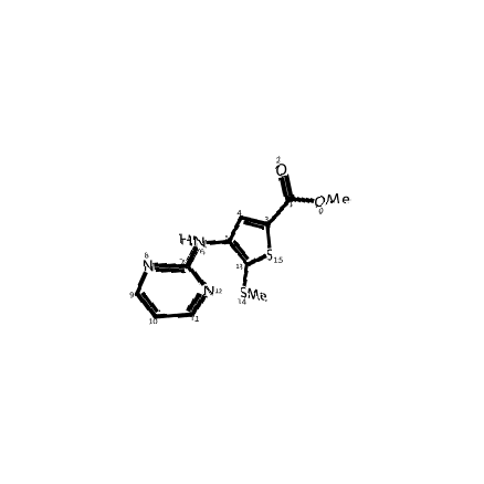 COC(=O)c1cc(Nc2ncccn2)c(SC)s1